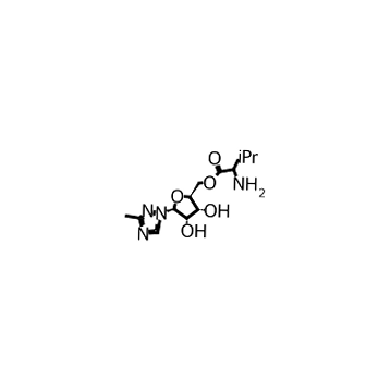 Cc1ncn([C@H]2O[C@@H](COC(=O)C(N)C(C)C)[C@H](O)[C@@H]2O)n1